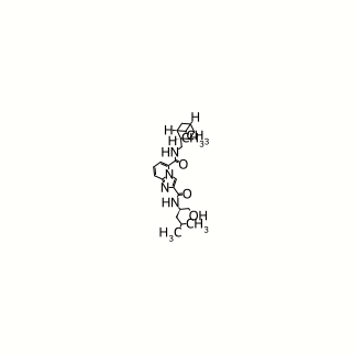 CC(C)C[C@H](CO)NC(=O)c1cn2c(C(=O)NC[C@@H]3CC[C@H]4C[C@@H]3C4(C)C)cccc2n1